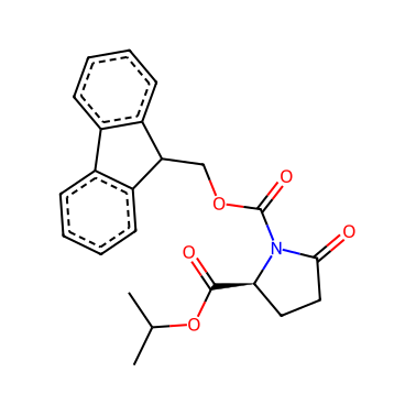 CC(C)OC(=O)[C@@H]1CCC(=O)N1C(=O)OCC1c2ccccc2-c2ccccc21